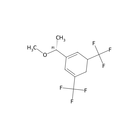 CO[C@H](C)C1=CC(C(F)(F)F)CC(C(F)(F)F)=C1